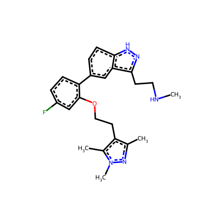 CNCCc1n[nH]c2ccc(-c3ccc(F)cc3OCCc3c(C)nn(C)c3C)cc12